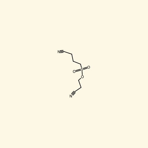 N#CCCCS(=O)(=O)OCCC#N